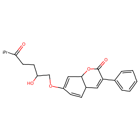 CC(C)C(=O)CCC(O)COC1=CC2OC(=O)C(c3ccccc3)=CC2C=C1